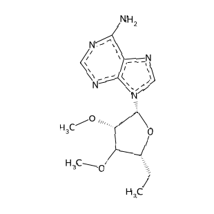 CC[C@H]1O[C@@H](n2cnc3c(N)ncnc32)[C@@H](OC)C1OC